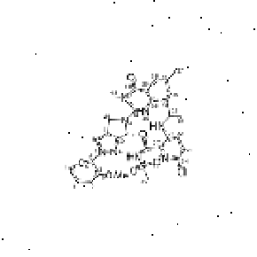 COc1ccccc1-n1cc2c(n1)CN(c1nc3c([C@@H](C)Nc4ccc(Cl)nc4C(=O)NS(C)(=O)=O)cc(C)cc3c(=O)n1C)C2